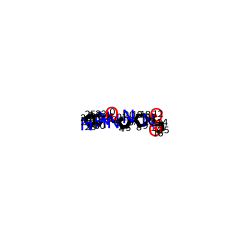 O=C(Nc1ccc(C2=CCN(C(=O)C3CCCO3)CC2)nc1)N1Cc2ccncc2C1